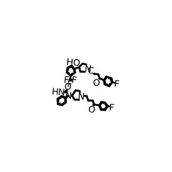 O=C(CCCN1CCC(O)(c2cccc(C(F)(F)F)c2)CC1)c1ccc(F)cc1.O=C(CCCN1CCC(n2c(=O)[nH]c3ccccc32)CC1)c1ccc(F)cc1